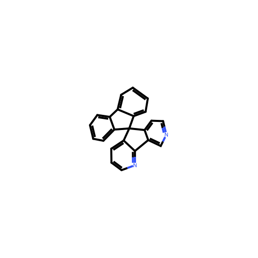 c1ccc2c(c1)-c1ccccc1C21c2ccncc2-c2ncccc21